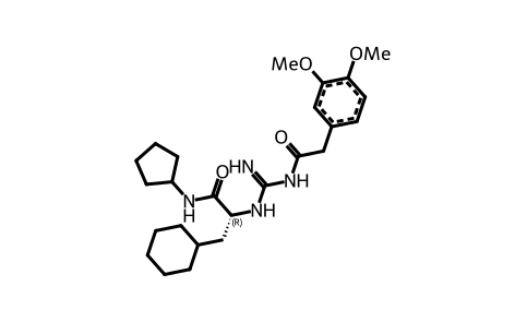 COc1ccc(CC(=O)NC(=N)N[C@H](CC2CCCCC2)C(=O)NC2CCCC2)cc1OC